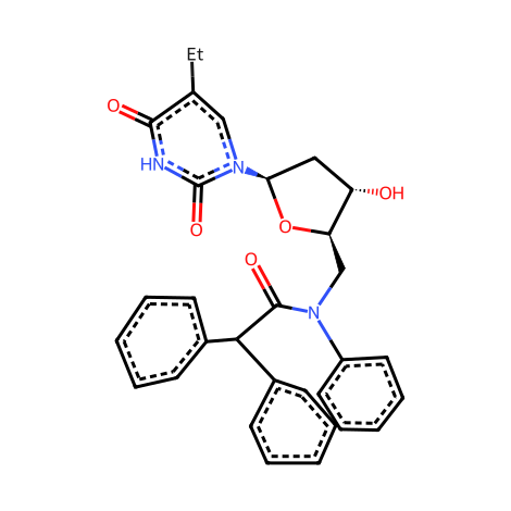 CCc1cn([C@H]2C[C@H](O)[C@@H](CN(C(=O)C(c3ccccc3)c3ccccc3)c3ccccc3)O2)c(=O)[nH]c1=O